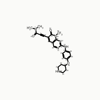 CN(C)C(=O)C#Cc1cc2cnc(Nc3ccc(OC4CCNCC4)cc3)nc2n(C(F)(F)F)c1=O